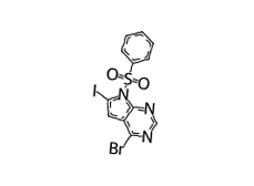 O=S(=O)(c1ccccc1)n1c(I)cc2c(Br)ncnc21